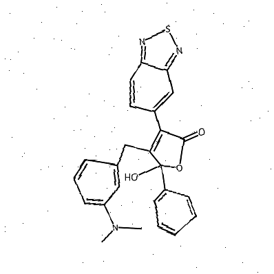 CN(C)c1cccc(CC2=C(c3ccc4nsnc4c3)C(=O)OC2(O)c2ccccc2)c1